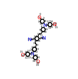 COc1ccc(N(c2ccc(C=Cc3cc(C#N)c(C=Cc4ccc(N(c5ccc(OC)cc5)c5ccc(OC)cc5)cc4)cc3C#N)cc2)c2ccc(OC)cc2)cc1